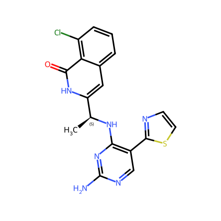 C[C@H](Nc1nc(N)ncc1-c1nccs1)c1cc2cccc(Cl)c2c(=O)[nH]1